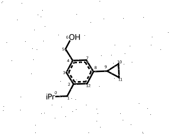 CC(C)Cc1cc([CH]O)cc(C2CC2)c1